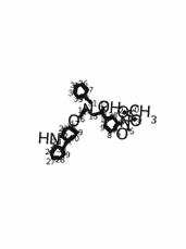 CS(=O)(=O)N1COc2ccc(C(O)CN(CCOc3ccc4c(c3)[nH]c3ccccc34)Cc3ccccc3)cc21